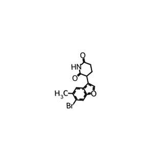 Cc1cc2c(C3CCC(=O)NC3=O)coc2cc1Br